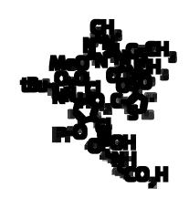 CC(C)Oc1cc(-n2nc(C(C)(C)C)oc2=O)c(Cl)cc1Cl.COc1nc(C)nc(NC(=O)NS(=O)(=O)c2ccsc2C(=O)O)n1.C[S+](C)C.O=C(O)CNCP(=O)([O-])O